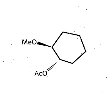 CO[C@H]1CCCC[C@@H]1OC(C)=O